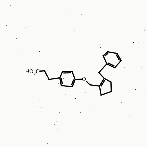 O=C(O)CCc1ccc(OCC2=C(Cc3ccccc3)CCC2)cc1